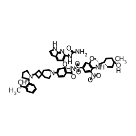 CC(C)c1ccccc1[C@H]1CCCN1C1CC2(CCN(c3ccc(C(=O)NS(=O)(=O)c4cc5c(c([N+](=O)[O-])c4)N[C@@H]([C@H]4CC[C@](C)(O)CC4)CO5)c(Oc4cc5cc[nH]c5nc4NC(N)=O)c3)CC2)C1